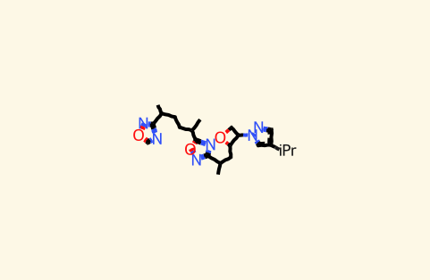 CC(C)c1cnn(C2COC2CC(C)c2noc(C(C)CCC(C)c3ncon3)n2)c1